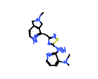 CN1Cc2ccnc(-c3nsc(Nc4ncccc4N(C)C)n3)c2C1